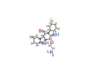 CN(C)CCOc1c2[nH]c3ccc(F)cc3c2c(Br)c2c1[nH]c1ccc(F)cc12